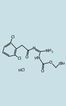 CC(C)(C)COC(=O)NC(N)=NC(=O)Cc1c(Cl)cccc1Cl.Cl